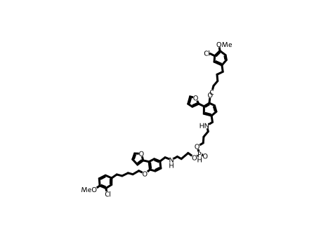 COc1ccc(CCCCCOc2ccc(CNCCCO[PH](=O)OCCCNCc3ccc(OCCCCCc4ccc(OC)c(Cl)c4)c(-c4ccco4)c3)cc2-c2ccco2)cc1Cl